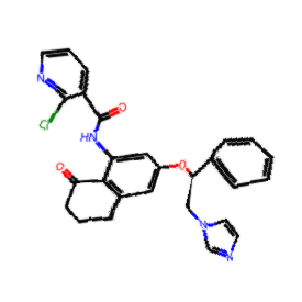 O=C(Nc1cc(O[C@H](Cn2ccnc2)c2ccccc2)cc2c1C(=O)CCC2)c1cccnc1Cl